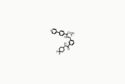 O=C(NC1CCC(F)(F)CC1)c1cccc([C@@H](CO)NC(=O)c2ccc(-c3ccncc3)cc2)c1